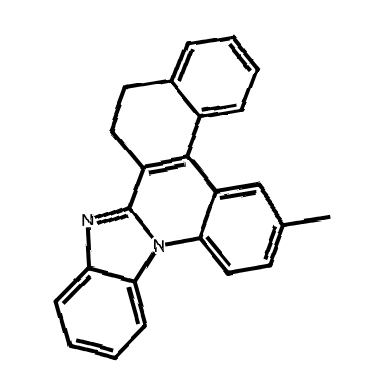 Cc1ccc2c(c1)c1c(c3nc4ccccc4n32)CCc2ccccc2-1